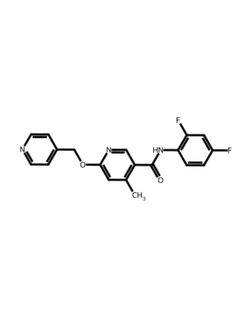 Cc1cc(OCc2ccncc2)ncc1C(=O)Nc1ccc(F)cc1F